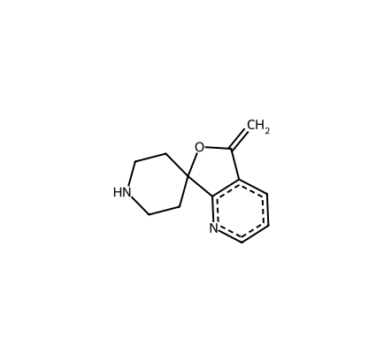 C=C1OC2(CCNCC2)c2ncccc21